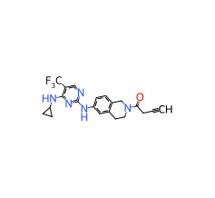 C#CCC(=O)N1CCc2cc(Nc3ncc(C(F)(F)F)c(NC4CC4)n3)ccc2C1